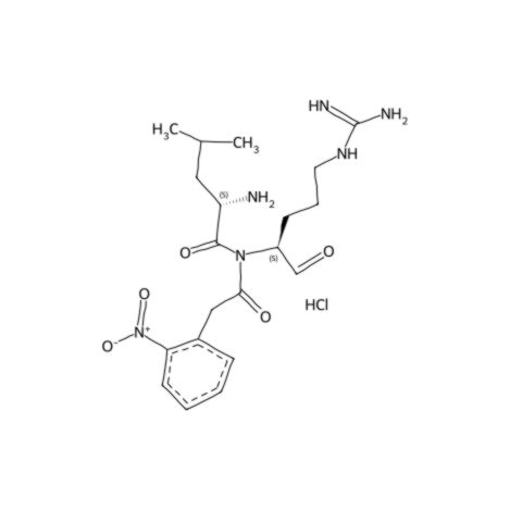 CC(C)C[C@H](N)C(=O)N(C(=O)Cc1ccccc1[N+](=O)[O-])[C@H](C=O)CCCNC(=N)N.Cl